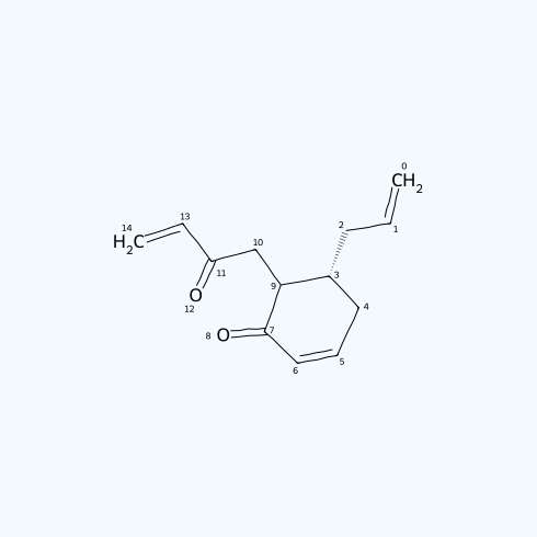 C=CC[C@@H]1CC=CC(=O)C1CC(=O)C=C